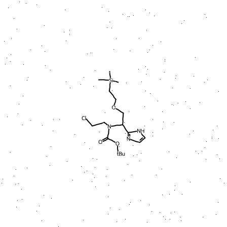 CC(C)(C)OC(=O)N(CCCl)C(COCC[Si](C)(C)C)c1ncc[nH]1